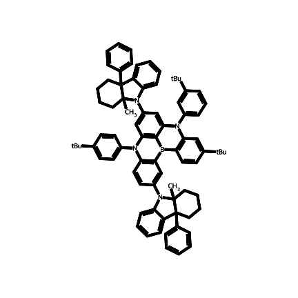 CC(C)(C)c1ccc(N2c3ccc(N4c5ccccc5C5(c6ccccc6)CCCCC45C)cc3B3c4ccc(C(C)(C)C)cc4N(c4cccc(C(C)(C)C)c4)c4cc(N5c6ccccc6C6(c7ccccc7)CCCCC56C)cc2c43)cc1